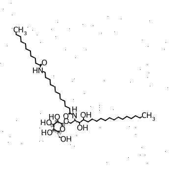 CCCCCCCCCCCCCCC(O)C(O)C(CO[C@H]1O[C@H](CO)[C@H](O)[C@H](O)[C@H]1O)NC(=O)CCCCCCCCCCCNC(=O)CCCCCCCCCC